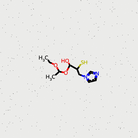 CCOC(C)OC(O)C(S)Cn1ccnc1